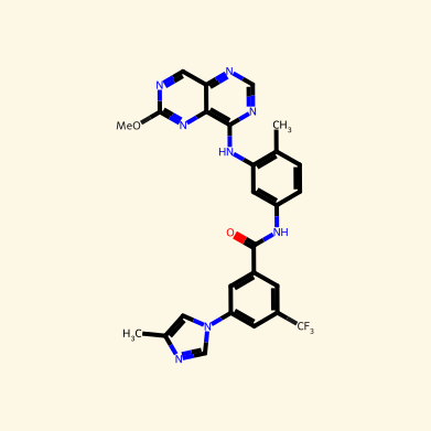 COc1ncc2ncnc(Nc3cc(NC(=O)c4cc(-n5cnc(C)c5)cc(C(F)(F)F)c4)ccc3C)c2n1